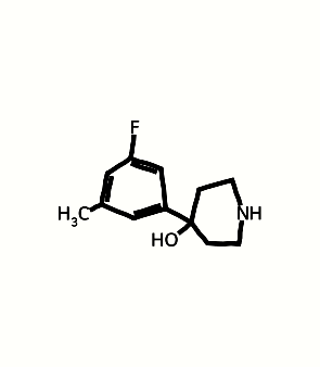 Cc1cc(F)cc(C2(O)CCNCC2)c1